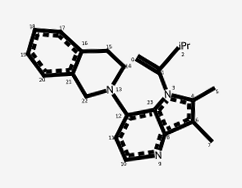 C=C(C(C)C)n1c(C)c(C)c2nccc(N3CCc4ccccc4C3)c21